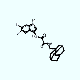 O=C(NCC12CC3CC(CC(C3)C1)C2)C(=O)Nc1c[nH]c2cc(F)c(F)cc12